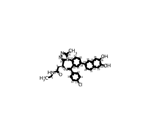 CCNC(=O)C[C@@H]1N=C(c2ccc(Cl)cc2)c2cc(-c3ccc4cc(O)c(O)cc4c3)ccc2-n2c(C)nnc21